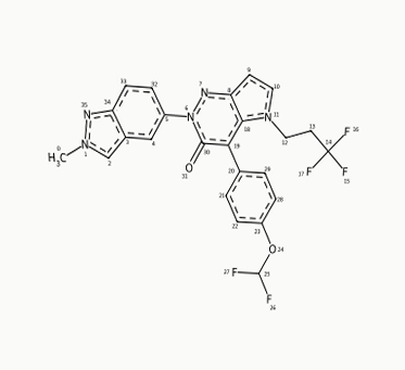 Cn1cc2cc(-n3nc4ccn(CCC(F)(F)F)c4c(-c4ccc(OC(F)F)cc4)c3=O)ccc2n1